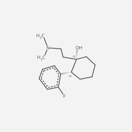 CN(C)CC[C@@]1(O)CCCC[C@@H]1c1ccccc1F